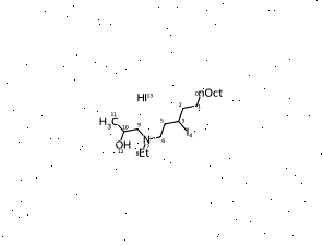 CCCCCCCCCCC(I)CCN(CC)CC(C)O.I